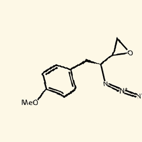 COc1ccc(C[C@H](N=[N+]=[N-])C2CO2)cc1